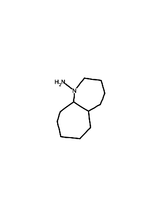 NN1CCCCC2CCCCCC21